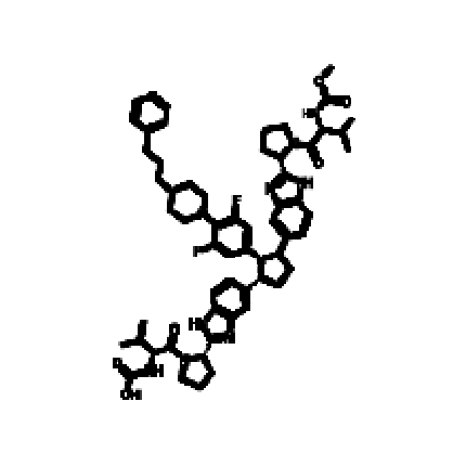 COC(=O)N[C@H](C(=O)N1CCC[C@H]1c1nc2cc(C3CC[C@H](c4ccc5[nH]c([C@@H]6CCCN6C(=O)[C@@H](NC(=O)O)C(C)C)nc5c4)N3c3cc(F)c(N4CCC(CCCc5ccccc5)CC4)c(F)c3)ccc2[nH]1)C(C)C